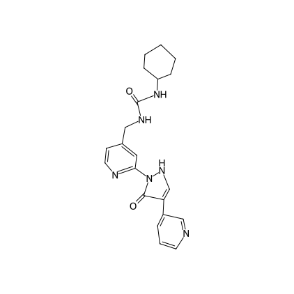 O=C(NCc1ccnc(-n2[nH]cc(-c3cccnc3)c2=O)c1)NC1CCCCC1